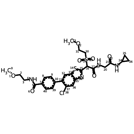 COCCNC(=O)c1ccc(-c2cc3sc(C(C(=O)NCC(=O)NC4CC4)S(=O)(=O)CCOC)nc3cc2Cl)cc1